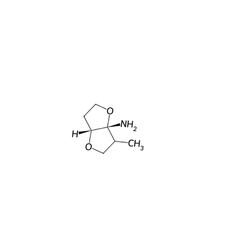 CC1CO[C@@H]2CCO[C@]12N